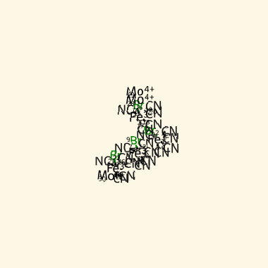 N#[C][Fe-3]([Br])([C]#N)([C]#N)([C]#N)[C]#N.N#[C][Fe-3]([Br])([C]#N)([C]#N)([C]#N)[C]#N.N#[C][Fe-3]([Br])([C]#N)([C]#N)([C]#N)[C]#N.N#[C][Fe-3]([Br])([C]#N)([C]#N)([C]#N)[C]#N.[Mo+4].[Mo+4].[Mo+4]